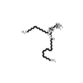 CCCCC/C=C\C/C=C\C/C=C\C/C=C\CCCCCC(=O)OC[C@H](COP(=O)([O-])OCC[N+](C)(C)C)OC(=O)CCCCCCC/C=C\CCCCCC